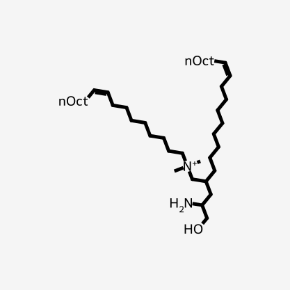 CCCCCCCC/C=C\CCCCCCCCC(CC(N)CO)C[N+](C)(C)CCCCCCCC/C=C\CCCCCCCC